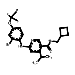 CC(C)c1cc(Nc2ccc(OC(F)(F)F)cc2Br)ncc1C(=O)NCC1CCC1